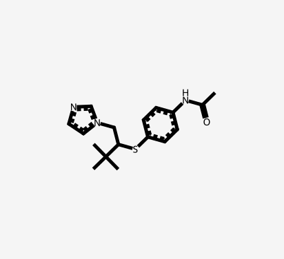 CC(=O)Nc1ccc(SC(Cn2ccnc2)C(C)(C)C)cc1